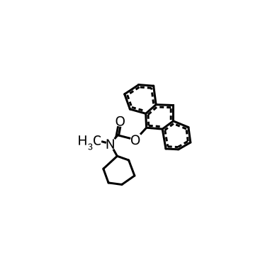 CN(C(=O)Oc1c2ccccc2cc2ccccc12)C1CCCCC1